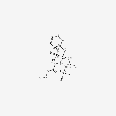 CCOC(=O)CN(C(=O)C(F)(F)F)C(Oc1ccccc1)(SCC)P(=O)(O)O